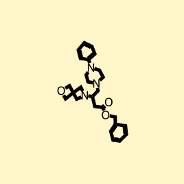 O=C(CC(CN1CCN(c2ccccc2)CC1)N1CC2(COC2)C1)OCc1ccccc1